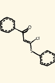 O=C(C=C(Cl)Sc1ccccc1)c1ccccc1